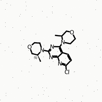 CC1COCCN1c1nc(N2CCOC[C@@H]2C)nc2nc(Cl)ccc12